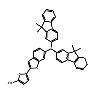 CC1(C)C2=C(C=CCC2)c2ccc(N(c3ccc4c(c3)C(C)(C)c3ccccc3-4)c3ccc4cc(-c5ccc(C=O)s5)sc4c3)cc21